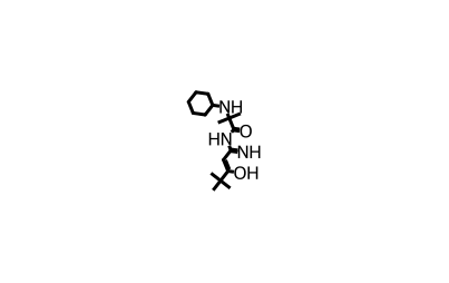 CC(C)(NC1CCCCC1)C(=O)NC(=N)/C=C(\O)C(C)(C)C